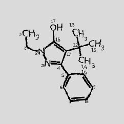 CCn1nc(-c2ccccc2)c(C(C)(C)C)c1O